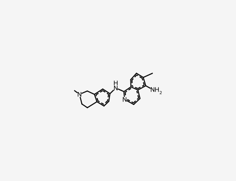 Cc1ccc2c(Nc3ccc4c(c3)CN(C)CC4)nccc2c1N